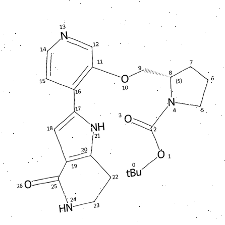 CC(C)(C)OC(=O)N1CCC[C@H]1COc1cnccc1-c1cc2c([nH]1)CCNC2=O